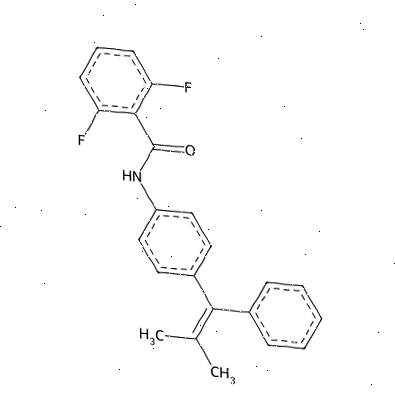 CC(C)=C(c1ccccc1)c1ccc(NC(=O)c2c(F)cccc2F)cc1